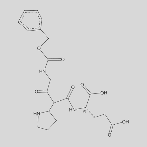 O=C(O)CC[C@H](NC(=O)C(C(=O)CNC(=O)OCc1ccccc1)C1CCCN1)C(=O)O